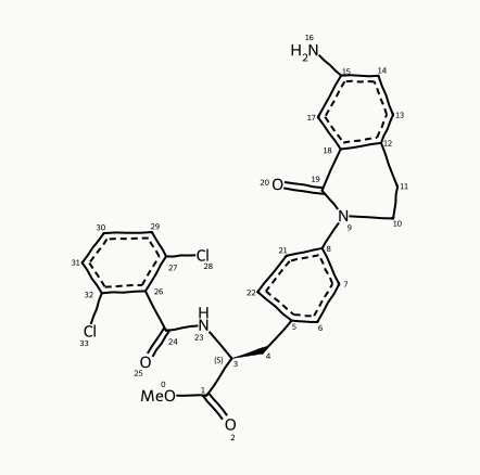 COC(=O)[C@H](Cc1ccc(N2CCc3ccc(N)cc3C2=O)cc1)NC(=O)c1c(Cl)cccc1Cl